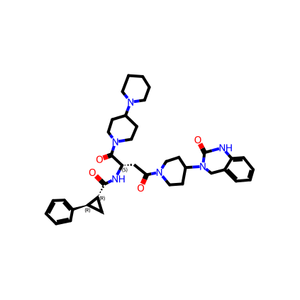 O=C(N[C@@H](CC(=O)N1CCC(N2Cc3ccccc3NC2=O)CC1)C(=O)N1CCC(N2CCCCC2)CC1)[C@@H]1C[C@H]1c1ccccc1